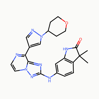 CC1(C)C(=O)Nc2cc(Nc3nc4c(-c5cnn(C6CCOCC6)c5)nccn4n3)ccc21